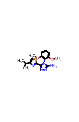 COc1cccc(OC)c1-n1c(N)nnc1-c1nc(C(C)C)cs1